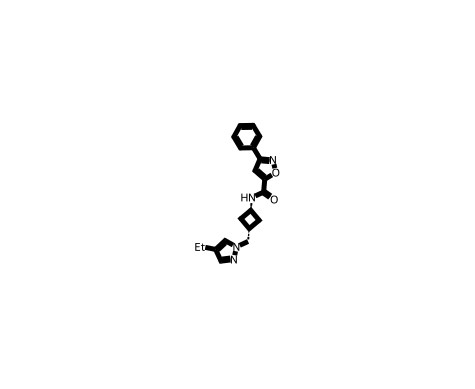 CCc1cnn(C[C@H]2C[C@@H](NC(=O)c3cc(-c4ccccc4)no3)C2)c1